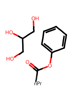 CCCC(=O)Oc1ccccc1.OCC(O)CO